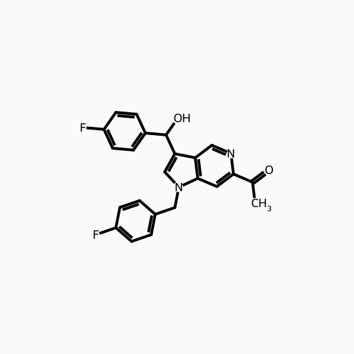 CC(=O)c1cc2c(cn1)c(C(O)c1ccc(F)cc1)cn2Cc1ccc(F)cc1